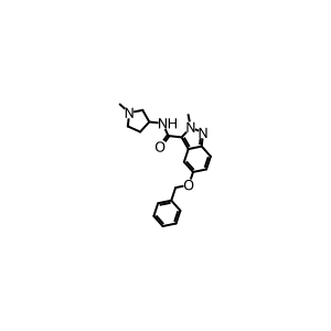 CN1CCC(NC(=O)c2c3cc(OCc4ccccc4)ccc3nn2C)C1